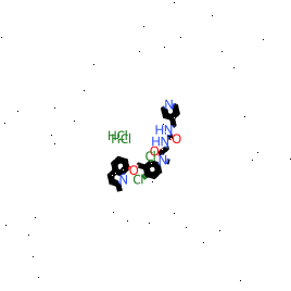 Cc1ccc2cccc(OCc3c(Cl)ccc(N(C)C(=O)CNC(=O)NCc4ccncc4)c3Cl)c2n1.Cl.Cl